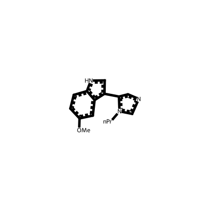 CCCn1cncc1-c1c[nH]c2ccc(OC)cc12